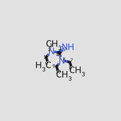 CCN(C)C(=N)N(CC)CC